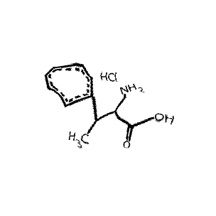 CC(c1ccccc1)C(N)C(=O)O.Cl